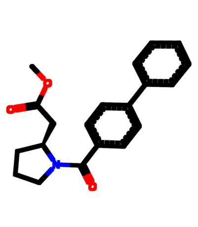 COC(=O)C[C@@H]1CCCN1C(=O)c1ccc(-c2ccccc2)cc1